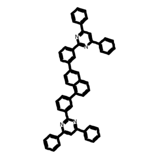 c1ccc(-c2cc(-c3ccccc3)nc(-c3cccc(-c4ccc5c(-c6cccc(-c7nc(-c8ccccc8)cc(-c8ccccc8)n7)c6)cccc5c4)c3)n2)cc1